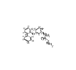 NCC(=O)Nc1cc(Oc2ccccc2-c2ccccc2)ccn1